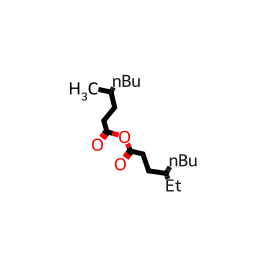 CCCCC(C)CCC(=O)OC(=O)CCC(CC)CCCC